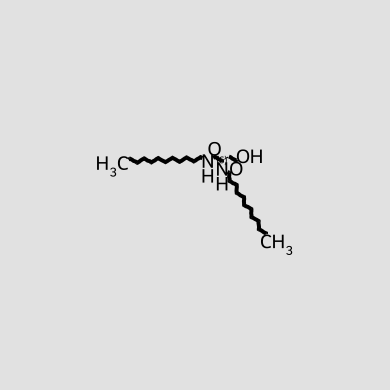 CCCCCCCCCCCCNC(=O)[C@H](CC(=O)O)NCCCCCCCCCCCC